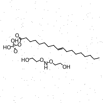 CCCCCCCCC=CCCCCCCCC(=O)OP(=O)(O)O.OCCONOCCO